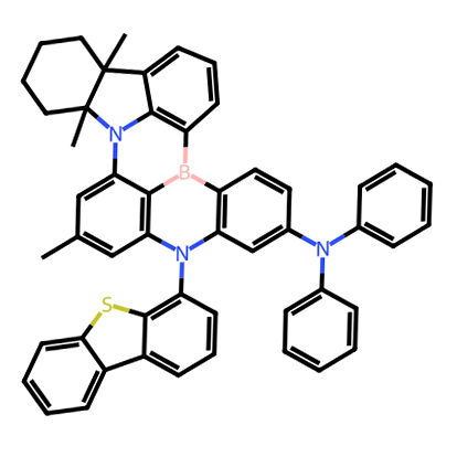 Cc1cc2c3c(c1)N1c4c(cccc4C4(C)CCCCC14C)B3c1ccc(N(c3ccccc3)c3ccccc3)cc1N2c1cccc2c1sc1ccccc12